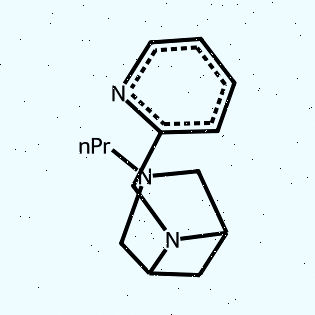 CCCN1CC2CC(C1)N2Cc1ccccn1